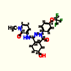 Cn1cccc(Nc2nn(-c3ccc(OC(F)(F)F)cc3)c(=O)c3c2CCC(O)C3)c1=O